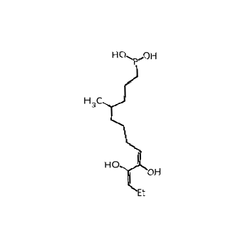 CC/C=C(O)\C(O)=C/CCCC(C)CCCP(O)O